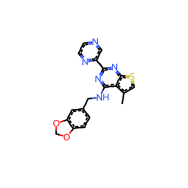 Cc1csc2nc(-c3cnccn3)nc(NCc3ccc4c(c3)OCO4)c12